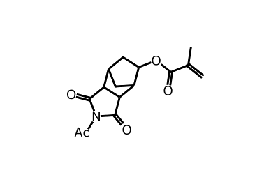 C=C(C)C(=O)OC1CC2CC1C1C(=O)N(C(C)=O)C(=O)C21